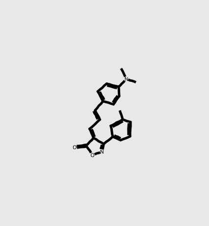 Cc1cccc(C2=NOC(=O)/C2=C/C=C/c2ccc(N(C)C)cc2)c1